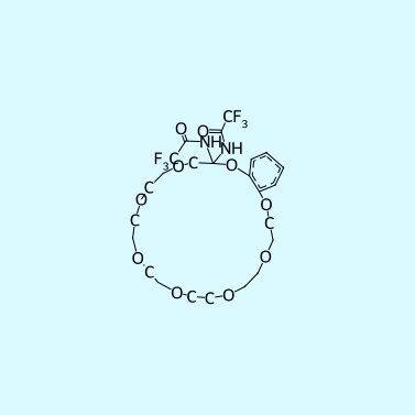 O=C(NC1(NC(=O)C(F)(F)F)COCCOCCOCCOCCOCCOCCOc2ccccc2O1)C(F)(F)F